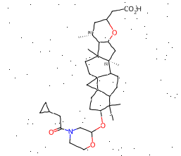 C[C@@H]1CC(CC(=O)O)OC2C[C@@]3(C)C4CCC5C(C)(C)C(OC6CN(C(=O)CC7CC7)CCO6)CCC56CC46CCC3(C)C21